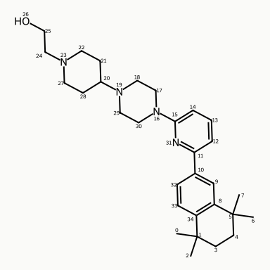 CC1(C)CCC(C)(C)c2cc(-c3cccc(N4CCN(C5CCN(CCO)CC5)CC4)n3)ccc21